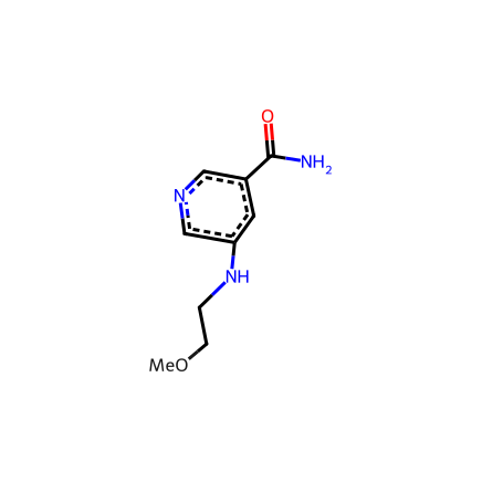 COCCNc1cncc(C(N)=O)c1